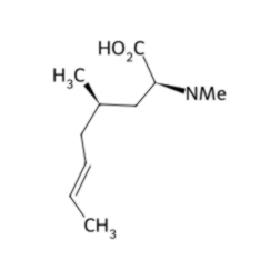 C/C=C/C[C@@H](C)C[C@H](NC)C(=O)O